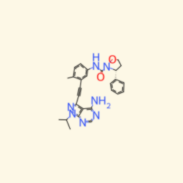 Cc1ccc(NC(=O)N2OCC[C@@H]2c2ccccc2)cc1C#Cc1nn(C(C)C)c2ncnc(N)c12